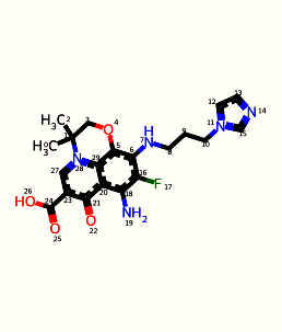 CC1(C)COc2c(NCCCn3ccnc3)c(F)c(N)c3c(=O)c(C(=O)O)cn1c23